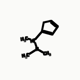 C[N](C)[Hf]([CH3])[C]1=CC=CC1